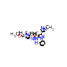 COCC[C@H]1C[C@@H](NC(=O)Nc2c(C)c(-c3cnn(C)c3)nn2-c2ccccc2)[C@H](C)N1C